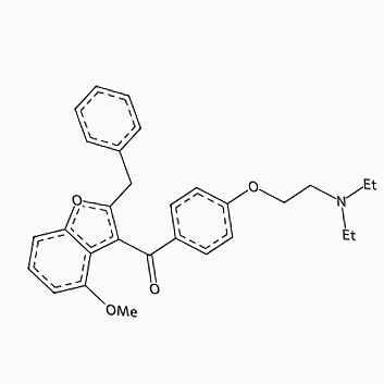 CCN(CC)CCOc1ccc(C(=O)c2c(Cc3ccccc3)oc3cccc(OC)c23)cc1